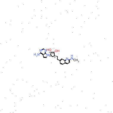 CNc1ccc2ccc(CC[C@H]3C[C@@H](n4ccc5c(N)ncnc54)[C@H](O)[C@@H]3O)cc2n1